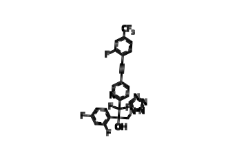 OC(Cn1cnnn1)(c1ccc(F)cc1F)C(F)(F)c1ccc(C#Cc2ccc(C(F)(F)F)cc2F)cn1